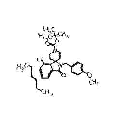 CCCCCC.COc1ccc(CN2C(=O)c3cccc(Cl)c3C23C=CN(C(=O)OC(C)(C)C)CC3)cc1